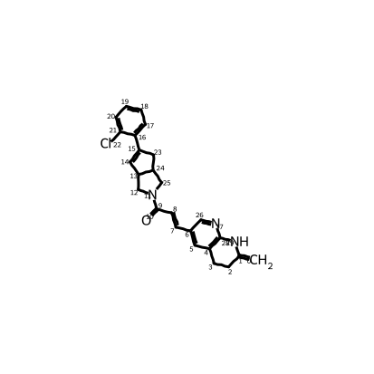 C=C1CCc2cc(/C=C/C(=O)N3CC4C=C(c5ccccc5Cl)CC4C3)cnc2N1